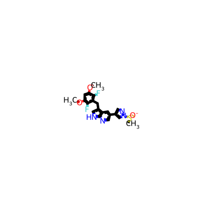 COc1cc(OC)c(F)c(Cc2c[nH]c3ncc(-c4cnn([S+](C)[O-])c4)cc23)c1F